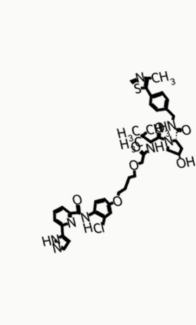 Cc1ncsc1-c1ccc(CNC(=O)[C@@H]2C[C@@H](O)CN2C(=O)[C@@H](NC(=O)COCCCCOc2ccc(NC(=O)c3cccc(-c4ccn[nH]4)n3)c(Cl)c2)C(C)(C)C)cc1